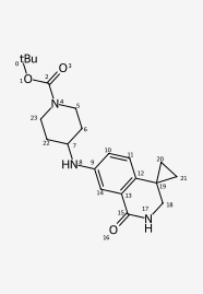 CC(C)(C)OC(=O)N1CCC(Nc2ccc3c(c2)C(=O)NCC32CC2)CC1